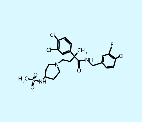 CC(CCN1CCC(NS(C)(=O)=O)CC1)(C(=O)NCc1ccc(Cl)c(F)c1)c1ccc(Cl)c(Cl)c1